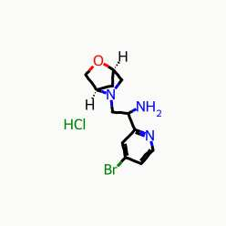 Cl.NC(CN1C[C@H]2C[C@@H]1CO2)c1cc(Br)ccn1